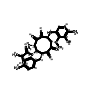 COc1c(N[C@H]2CC(=O)C(=O)[C@H](Cc3ccc(N)cc3)[C@H](OC(=O)C(C)C)[C@H](C)C(=O)C2=O)cnc(C)c1O